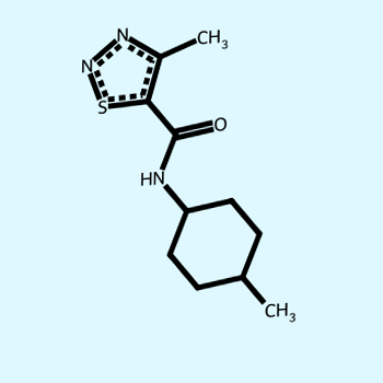 Cc1nnsc1C(=O)NC1CCC(C)CC1